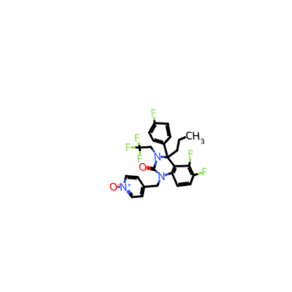 CCCC1(c2ccc(F)cc2)c2c(ccc(F)c2F)N(Cc2cc[n+]([O-])cc2)C(=O)N1CC(F)(F)F